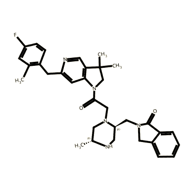 Cc1cc(F)ccc1Cc1cc2c(cn1)C(C)(C)CN2C(=O)CN1C[C@@H](C)NC[C@@H]1CN1Cc2ccccc2C1=O